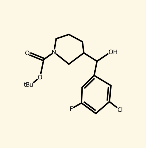 CC(C)(C)OC(=O)N1CCCC(C(O)c2cc(F)cc(Cl)c2)C1